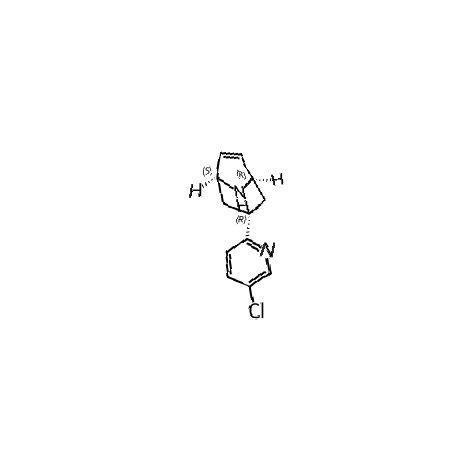 Clc1ccc([C@@H]2C[C@H]3C=C[C@@H](C2)N3)nc1